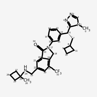 Cn1cnnc1[C@H](CC1CCC1)c1cccc(N2Cc3c(cc(CNC4(C)CCC4)cc3C(F)(F)F)C2=O)c1